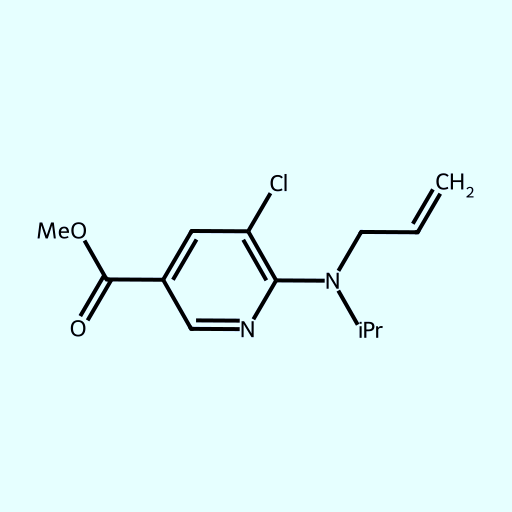 C=CCN(c1ncc(C(=O)OC)cc1Cl)C(C)C